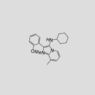 COc1ccccc1-c1nc2c(C)cccn2c1NC1CCCCC1